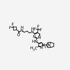 Cc1nn(C2CC3CCC(C2)N3C)cc1Nc1ncc(C(F)(F)F)c(NCCCNC(=O)C2CC(F)(F)C2)n1